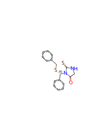 O=C1CNC(=S)N1[C@@H](SCc1ccccc1)c1ccccc1